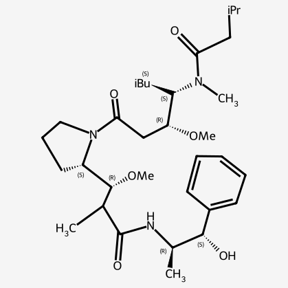 CC[C@H](C)[C@@H]([C@@H](CC(=O)N1CCC[C@H]1[C@H](OC)C(C)C(=O)N[C@H](C)[C@@H](O)c1ccccc1)OC)N(C)C(=O)CC(C)C